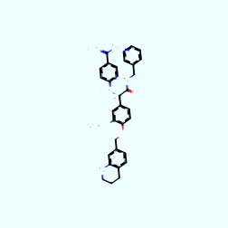 COc1cc([C@@H](Nc2ccc(C(=N)N)cc2)C(=O)NCc2ccccc2)ccc1OCc1ccc2c(c1)NCCC2